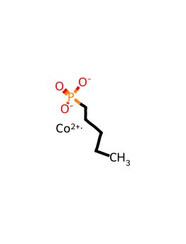 CCCCCP(=O)([O-])[O-].[Co+2]